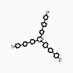 COc1ccc(-c2ccc(-c3ccc(-c4cc(-c5ccc(-c6ccc(-c7ccc(OC)cc7)cc6)cc5)nc(-c5ccc(-c6ccc(-c7ccc(OC)cc7)cc6)cc5)n4)cc3)cc2)cc1